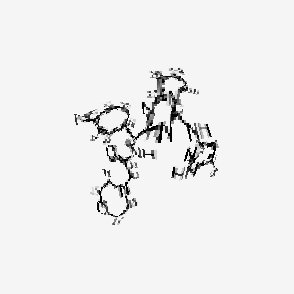 Cc1cc(Nc2nc(C(NC(=O)CN3CCOCC3)c3ccc(F)cc3)nc3cccn23)n[nH]1